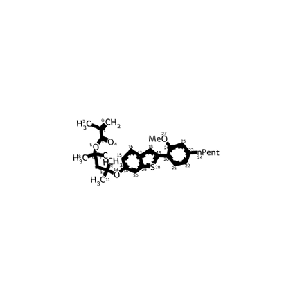 C=C(C)C(=O)OC(C)(C)CC(C)(C)Oc1ccc2cc(-c3ccc(CCCCC)cc3OC)sc2c1